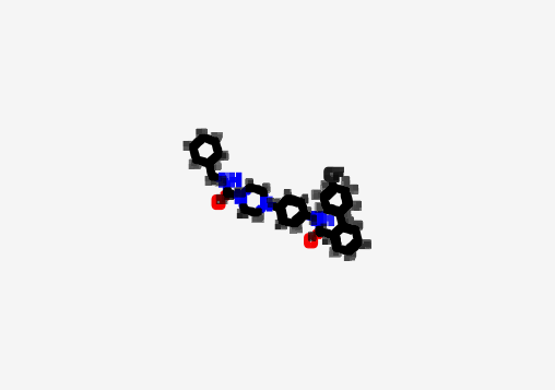 O=C(Nc1ccc(N2CCN(C(=O)NCC3CCCCC3)CC2)cc1)c1ccccc1-c1ccc(C(F)(F)F)cc1